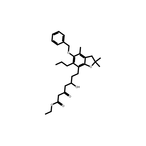 CCCc1c(CCC(O)CC(=O)CC(=O)OCC)c2c(c(C)c1OCc1ccccc1)CC(C)(C)O2